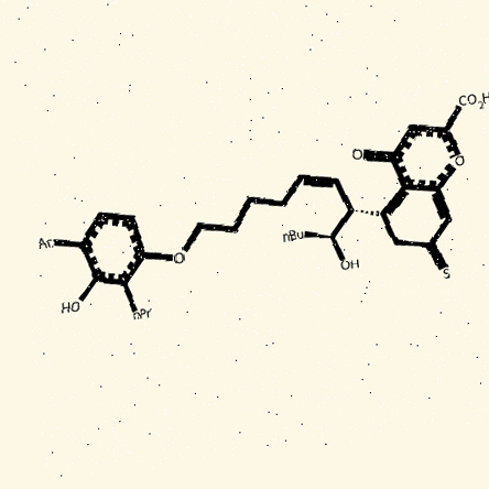 CCCC[C@H](O)[C@H](/C=C\CCCCOc1ccc(C(C)=O)c(O)c1CCC)C1=c2c(=O)cc(C(=O)O)oc2=CC(=S)C1